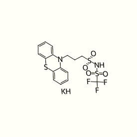 O=S(=O)(CCCN1c2ccccc2Sc2ccccc21)NS(=O)(=O)C(F)(F)F.[KH]